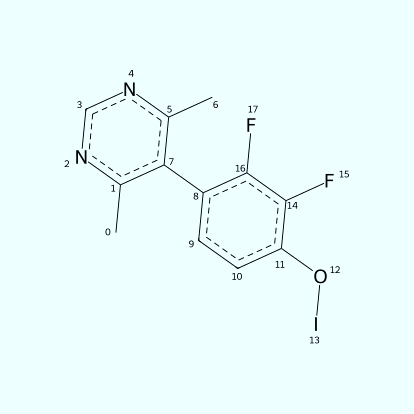 Cc1ncnc(C)c1-c1ccc(OI)c(F)c1F